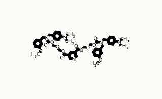 COc1cccc(CN(Cc2ccc(N(C)C)cc2)C(=O)OCOCOC(=O)c2cncc(C(=O)OCOCOC(=O)N(Cc3ccc(N(C)C)cc3)Cc3cccc(OC)c3)c2)c1